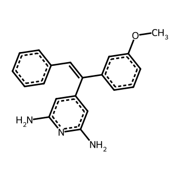 COc1cccc(C(=Cc2ccccc2)c2cc(N)nc(N)c2)c1